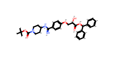 CC(C)(C)OC(=O)N1CCC(NC(=N)c2ccc(OC[C@@H](O)C(=O)OC(c3ccccc3)c3ccccc3)cc2)CC1